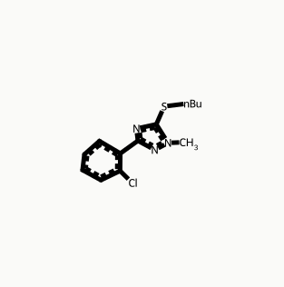 CCCCSc1nc(-c2ccccc2Cl)nn1C